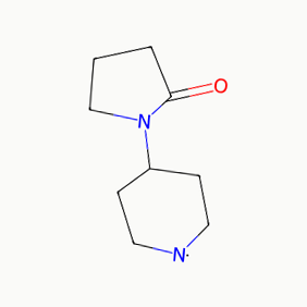 O=C1CCCN1C1CC[N]CC1